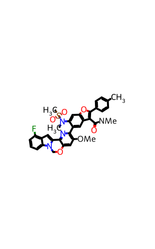 CNC(=O)c1c(-c2ccc(C)cc2)oc2cc(N(C)S(C)(=O)=O)c(-c3nc4c(cc3OC)OCn3c-4cc4c(F)cccc43)cc12